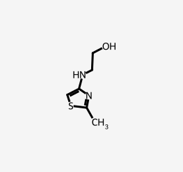 Cc1nc(NCCO)cs1